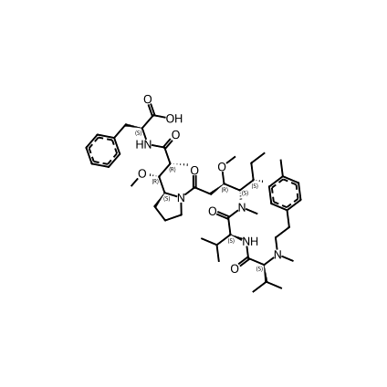 CC[C@H](C)[C@@H]([C@@H](CC(=O)N1CCC[C@H]1[C@H](OC)[C@@H](C)C(=O)N[C@@H](Cc1ccccc1)C(=O)O)OC)N(C)C(=O)[C@@H](NC(=O)[C@H](C(C)C)N(C)CCc1ccc(C)cc1)C(C)C